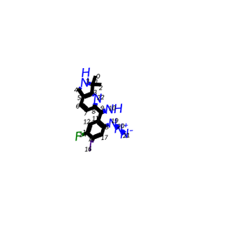 CC1(C)NCc2ccc(C(=N)c3cc(F)c(I)cc3N=[N+]=[N-])nc21